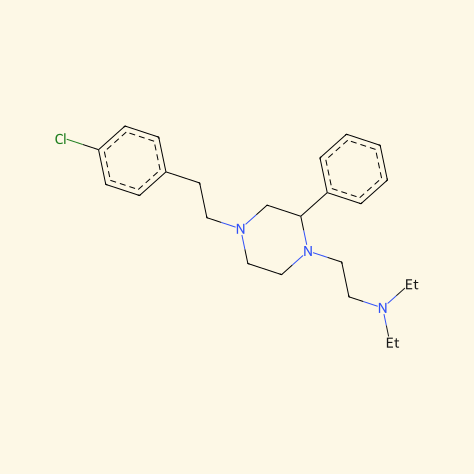 CCN(CC)CCN1CCN(CCc2ccc(Cl)cc2)CC1c1ccccc1